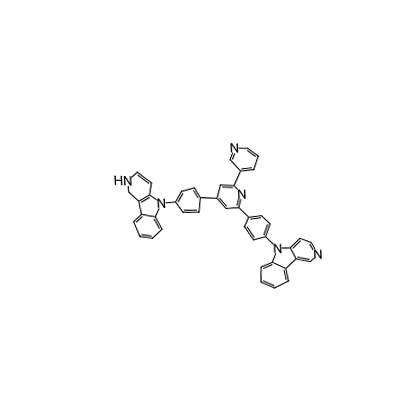 C1=Cc2c(c3ccccc3n2-c2ccc(-c3cc(-c4ccc(-n5c6ccccc6c6cnccc65)cc4)nc(-c4cccnc4)c3)cc2)CN1